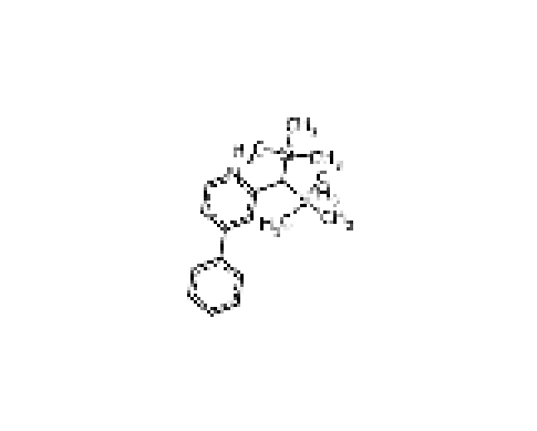 C[Si](C)(C)C(c1cc(-c2ccccc2)ccn1)[Si](C)(C)C